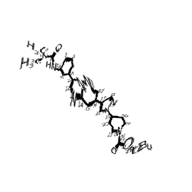 CN(C)C(=O)Nc1cccc(-c2cnc3cc(-c4cnn(C5CCN(C(=O)OC(C)(C)C)CC5)c4)cnn23)c1